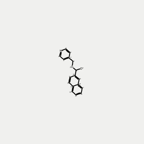 [O]C(OCc1ccncc1)c1ccc2ccccc2c1